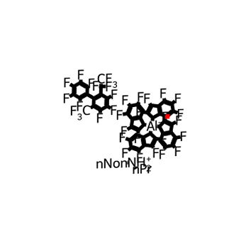 CCCCCCCCC[NH2+]CCC.FC1=C(F)[CH]([Al-]([CH]2C(F)=C(F)c3c2cc(F)c(F)c3F)([CH]2C(F)=C(F)c3c2cc(F)c(F)c3F)[CH]2C(F)=C(F)c3c2cc(F)c(F)c3F)c2cc(F)c(F)c(F)c21.Fc1c(F)c(F)c(-c2c(C(F)(F)F)c(F)c(F)c(F)c2C(F)(F)C(F)(F)F)c(F)c1F